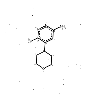 Nc1cc(C2CCOCC2)c(Cl)nn1